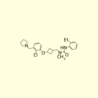 CCc1ccccc1NC(=O)N(C)CC1CC(Oc2cccc(CN3CCCC3)c2Cl)C1